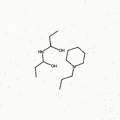 CCC(O)NC(O)CC.CCCN1CCCCC1